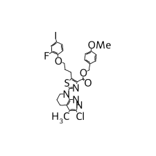 COc1ccc(COC(=O)c2nc(N3CCCc4c3nnc(Cl)c4C)sc2CCCOc2ccc(I)cc2F)cc1